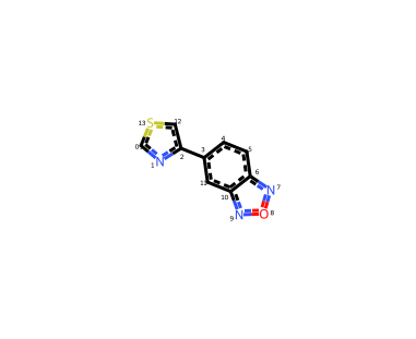 [c]1nc(-c2ccc3nonc3c2)cs1